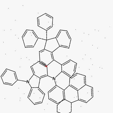 c1ccc(-n2c3ccccc3c3c(N(c4ccccc4-c4cccc5c4-c4ccccc4C5(c4ccccc4)c4ccccc4)c4ccccc4-c4cccc5cccc(C6CCCCC6)c45)cccc32)cc1